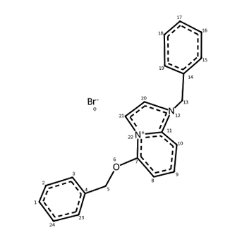 [Br-].c1ccc(COc2cccc3n(Cc4ccccc4)cc[n+]23)cc1